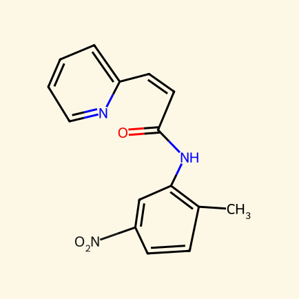 Cc1ccc([N+](=O)[O-])cc1NC(=O)/C=C\c1ccccn1